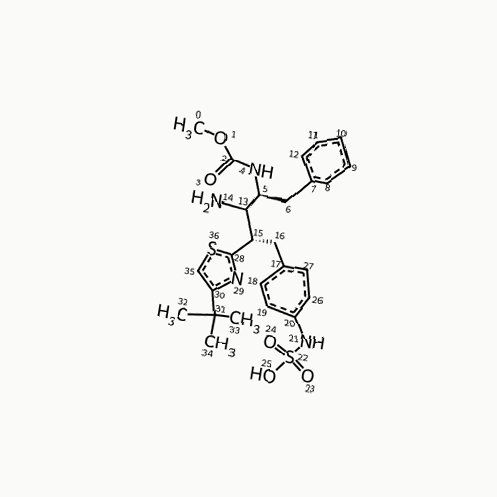 COC(=O)N[C@@H](Cc1ccccc1)C(N)[C@H](Cc1ccc(NS(=O)(=O)O)cc1)c1nc(C(C)(C)C)cs1